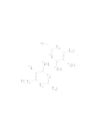 Nc1nc(N)c(N=O)c(N)n1.Nc1nc(O)nc(N)c1N